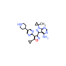 CC1(n2nc(-c3noc(C4CC4)c3-c3ncc(C4CCNCC4)cn3)c3c(N)ncnc32)CC1